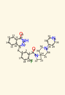 O=C(c1cc(Cc2n[nH]c(=O)c3ccccc23)ccc1F)N1CCC12CCN(c1ccncc1)CC2